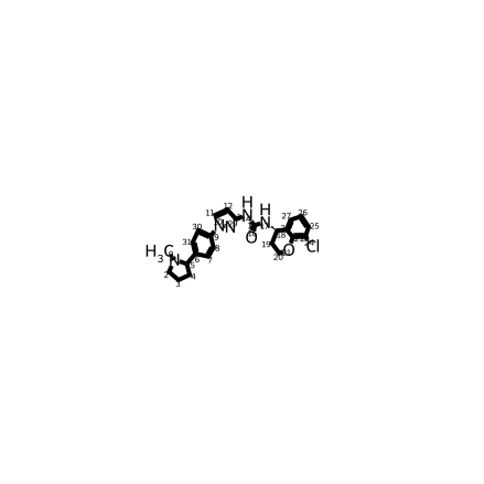 CN1CCCC1c1ccc(-n2ccc(NC(=O)N[C@H]3CCOc4c(Cl)cccc43)n2)cc1